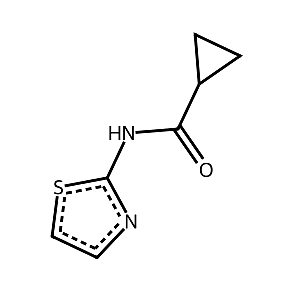 O=C(Nc1nccs1)C1CC1